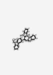 CCn1c2ccccc2c2cc(C(=Cc3nc4ccccc4[nH]3)c3nc4ccccc4[nH]3)ccc21